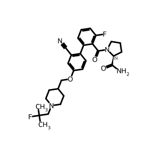 CC(C)(F)CN1CCC(COc2ccc(-c3cccc(F)c3C(=O)N3CCC[C@H]3C(N)=O)c(C#N)c2)CC1